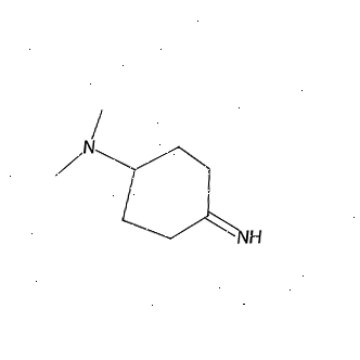 CN(C)C1CCC(=N)CC1